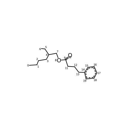 CCCCC(CC)COC(=O)CCCc1ccccc1